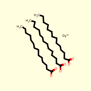 CCCCCCCCCCCCCC(=O)[O-].CCCCCCCCCCCCCC(=O)[O-].CCCCCCCCCCCCCC(=O)[O-].[Dy+3]